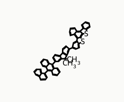 CC1(C)c2cc(-c3ccc4sc5c6sc7ccccc7c6c6ccccc6c5c4c3)ccc2-c2ccc(-c3c4ccccc4c(-c4cccc5ccccc45)c4ccccc34)cc21